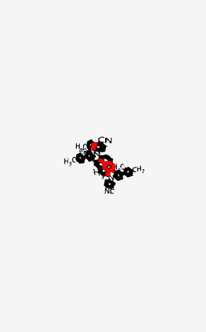 [C-]#[N+]c1ccc(N(C2=C3C=CC4=C5C(=CC=C(C=C2)C35)C(N(c2ccc(C#N)cc2)c2ccc(-c3ccc(C)cc3C)cc2-c2ccccc2C)C=C4)c2ccc(-c3ccc(C)cc3C)cc2-c2ccc(C)cc2C)cc1